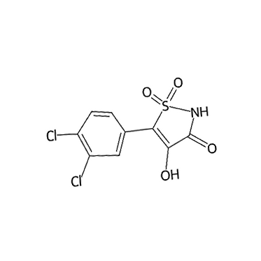 O=C1NS(=O)(=O)C(c2ccc(Cl)c(Cl)c2)=C1O